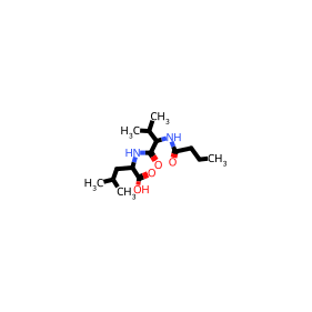 CCCC(=O)NC(C(=O)NC(CC(C)C)C(=O)O)C(C)C